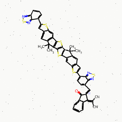 CC1(C)c2cc3cc(-c4cccc5nsnc45)sc3cc2-c2sc3c4c(sc3c21)-c1cc2sc(-c3ccc(/C=C5\C(=O)c6ccccc6C5=C(C#N)C#N)c5nsnc35)cc2cc1C4(C)C